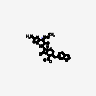 CO/N=C(\C(=O)NC1C(=O)N2C(C(=O)[O-])=C(C[n+]3ccc4ccoc4c3)CS[C@H]12)c1noc(N)n1